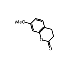 COc1ccc2c(c1)OC(=O)CC2